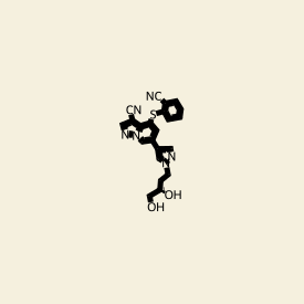 N#Cc1ccccc1Sc1cc(-c2cnn(CC[C@@H](O)CO)c2)cn2ncc(C#N)c12